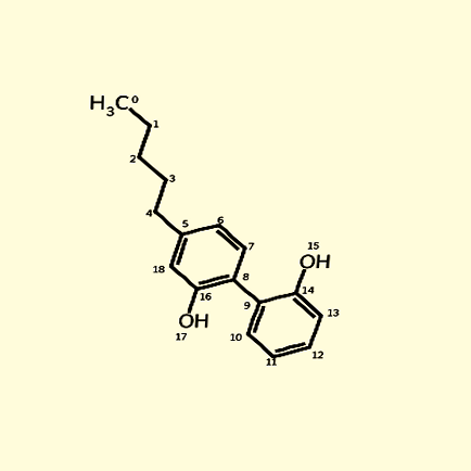 CCCCCc1ccc(-c2ccccc2O)c(O)c1